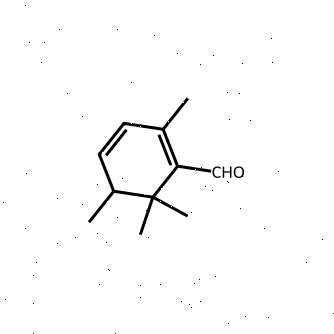 CC1=C(C=O)C(C)(C)C(C)C=C1